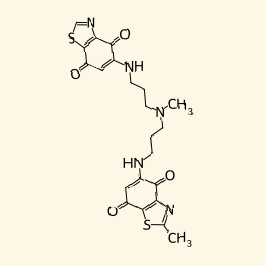 Cc1nc2c(s1)C(=O)C=C(NCCCN(C)CCCNC1=CC(=O)c3scnc3C1=O)C2=O